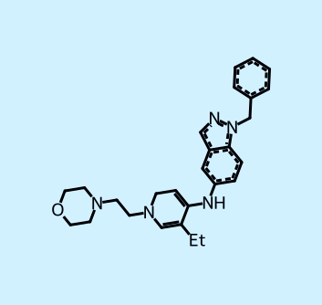 CCC1=CN(CCN2CCOCC2)CC=C1Nc1ccc2c(cnn2Cc2ccccc2)c1